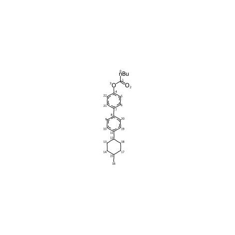 CCCCC(=O)Oc1ccc(-c2ccc(C3CCC(C)CC3)cc2)cc1